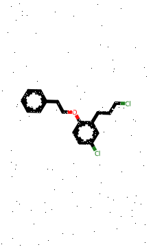 ClCCCc1cc(Cl)ccc1OCCc1ccccc1